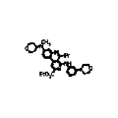 CCOC(=O)c1cc(-c2ccc(N(C)C3CCOCC3)cc2)c(C(=N)C(C)C)c(Nc2cccc(N3CCOCC3)c2)n1